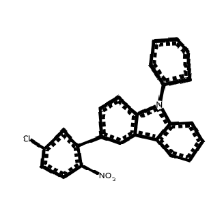 O=[N+]([O-])c1ccc(Cl)cc1-c1ccc2c(c1)c1ccccc1n2-c1ccccc1